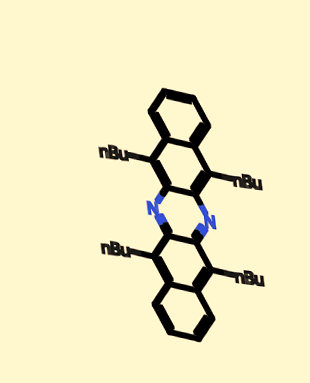 CCCCc1c2ccccc2c(CCCC)c2nc3c(CCCC)c4ccccc4c(CCCC)c3nc12